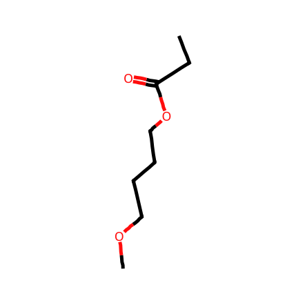 CCC(=O)OCCCCOC